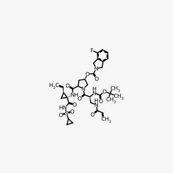 C=CC(=O)NC[C@H](NC(=O)OC(C)(C)C)C(=O)N1C[C@H](OC(=O)N2Cc3cccc(F)c3C2)CC1C(=O)N[C@]1(C(=O)NS(=O)(=O)C2CC2)C[C@H]1C=C